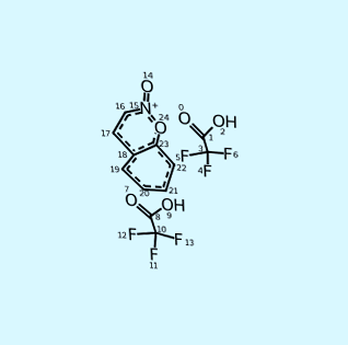 O=C(O)C(F)(F)F.O=C(O)C(F)(F)F.O=[n+]1ccc2ccccc2o1